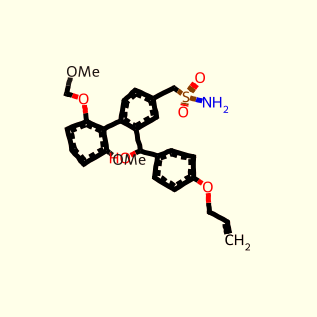 C=CCOc1ccc(C(O)c2cc(CS(N)(=O)=O)ccc2-c2c(OC)cccc2OCOC)cc1